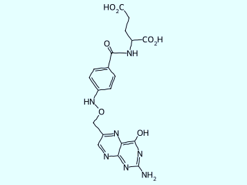 Nc1nc(O)c2nc(CONc3ccc(C(=O)NC(CCC(=O)O)C(=O)O)cc3)cnc2n1